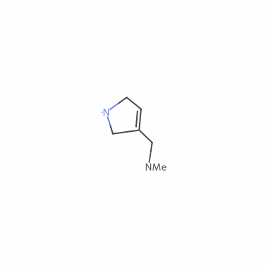 CNCC1=CC[N]C1